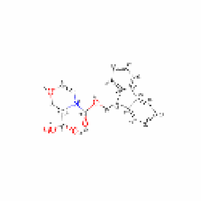 O=C(O)[C@@H]1COC=CN1C(=O)OCC1c2ccccc2-c2ccccc21